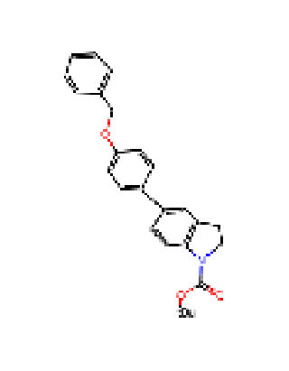 CC(C)(C)OC(=O)N1CCc2cc(-c3ccc(OCc4ccccc4)cc3)ccc21